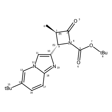 C[C@H]1C(=O)N(C(=O)OC(C)(C)C)[C@@H]1c1cn2cc(C(C)(C)C)ccc2n1